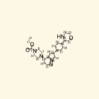 CCOC(=O)N1CCN(c2ccnn3cc(-c4ccc(C5COCCN5)cc4)cc23)CC1